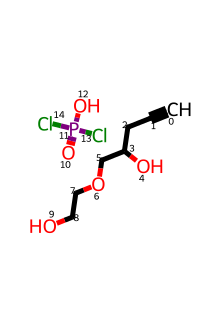 C#CCC(O)COCCO.O=P(O)(Cl)Cl